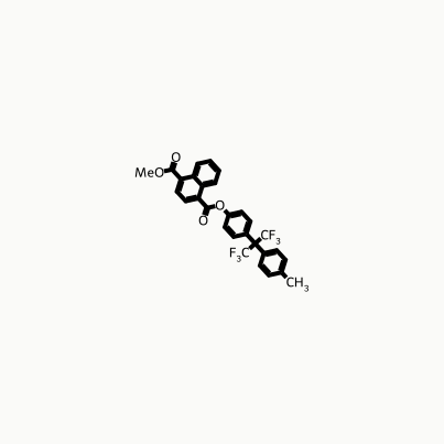 COC(=O)c1ccc(C(=O)Oc2ccc(C(c3ccc(C)cc3)(C(F)(F)F)C(F)(F)F)cc2)c2ccccc12